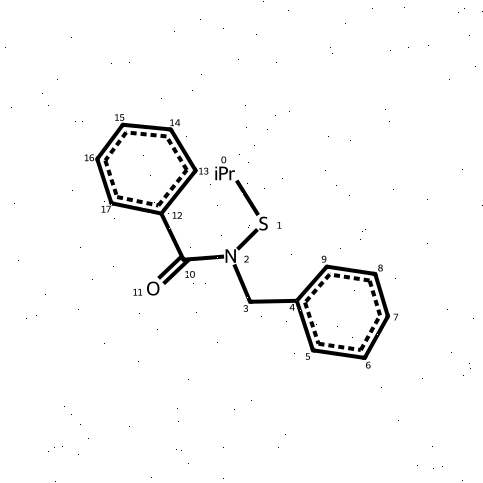 CC(C)SN(Cc1ccccc1)C(=O)c1ccccc1